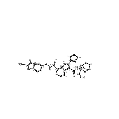 Nc1nc2ccc(CNC(=O)c3cccn4c(C(=O)N[C@@]5(CO)CC6CCC5C6)c(-c5ccsc5)nc34)cc2s1